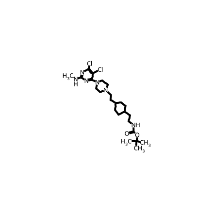 CNc1nc(Cl)c(Cl)c(N2CCN(CCC3CCC(CCNC(=O)OC(C)(C)C)CC3)CC2)n1